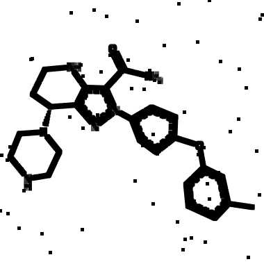 Cc1cccc(Oc2ccc(-n3nc4c(c3C(N)=O)NCC[C@H]4N3CCNCC3)cc2)c1